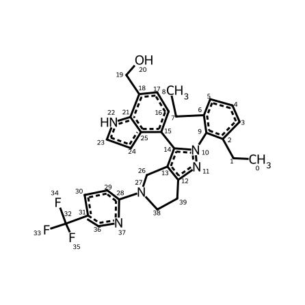 CCc1cccc(CC)c1-n1nc2c(c1-c1ccc(CO)c3[nH]ccc13)CN(c1ccc(C(F)(F)F)cn1)CC2